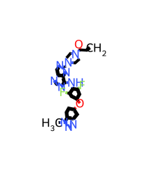 C=CC(=O)N1CCN(c2ncc3ncnc(Nc4c(F)cc(Oc5ccc6c(c5)nnn6C)cc4F)c3n2)CC1